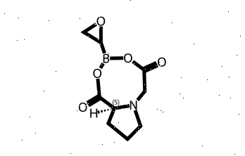 O=C1CN2CCC[C@H]2C(=O)OB(C2CO2)O1